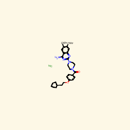 COc1cc2nc(N3CCN(C(=O)c4ccc(OCCc5ccccc5)cc4)CC3)nc(N)c2cc1OC.Cl